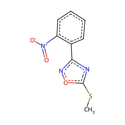 CSc1nc(-c2ccccc2[N+](=O)[O-])no1